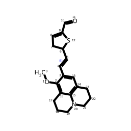 COc1c(/C=C/C2CC=C(C=O)S2)cc2c3c1CCCN3CCC2